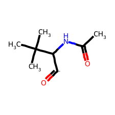 CC(=O)NC([C]=O)C(C)(C)C